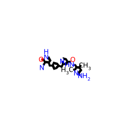 Cc1cc(N)nc(C)c1CNC(=O)c1ccnc(Cc2ccc(Cc3cc[nH]c(=O)c3C#N)cc2)c1